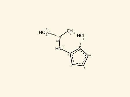 C[C@H](Nc1cccs1)C(=O)O.Cl